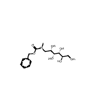 CN(C[C@H](O)[C@@H](O)[C@H](O)[C@H](O)CO)C(=O)OCc1ccccc1